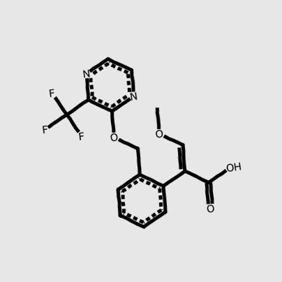 CO/C=C(/C(=O)O)c1ccccc1COc1nccnc1C(F)(F)F